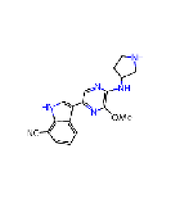 COc1nc(-c2c[nH]c3c(C#N)cccc23)cnc1NC1CCNC1